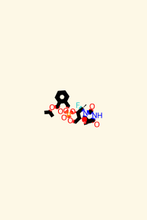 CO[C@@H]1COP(=O)(OCc2ccccc2C(=O)OC(C)C)O[C@H]1[C@@](C)(F)n1ccc(=O)[nH]c1=O